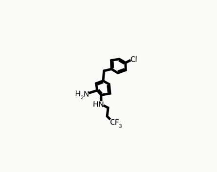 Nc1cc(Cc2ccc(Cl)cc2)ccc1NCCC(F)(F)F